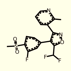 Cc1ncccc1-c1noc(C(F)F)c1-c1ccc(S(C)(=O)=O)c(F)c1